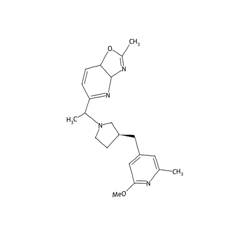 COc1cc(C[C@H]2CCN(C(C)C3=NC4N=C(C)OC4C=C3)C2)cc(C)n1